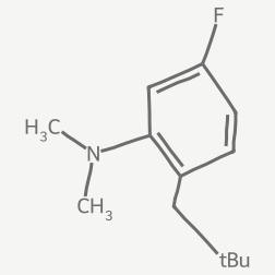 CN(C)c1cc(F)ccc1CC(C)(C)C